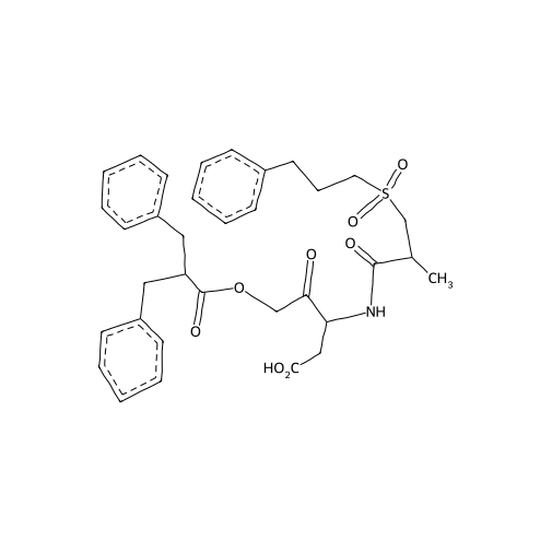 CC(CS(=O)(=O)CCCc1ccccc1)C(=O)NC(CC(=O)O)C(=O)COC(=O)C(Cc1ccccc1)Cc1ccccc1